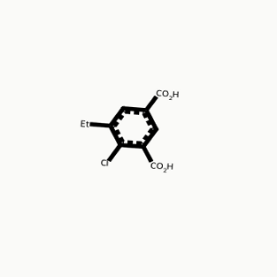 CCc1cc(C(=O)O)cc(C(=O)O)c1Cl